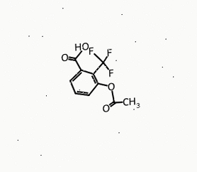 CC(=O)Oc1cccc(C(=O)O)c1C(F)(F)F